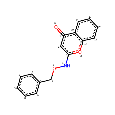 O=c1cc(NOCc2ccccc2)oc2ccccc12